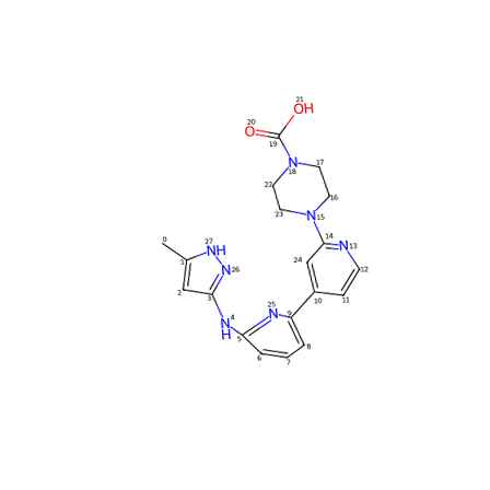 Cc1cc(Nc2cccc(-c3ccnc(N4CCN(C(=O)O)CC4)c3)n2)n[nH]1